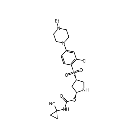 CCN1CCN(c2ccc(S(=O)(=O)[C@H]3CN[C@@H](OC(=O)NC4(C#N)CC4)C3)c(Cl)c2)CC1